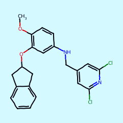 COc1ccc(NCc2cc(Cl)nc(Cl)c2)cc1OC1Cc2ccccc2C1